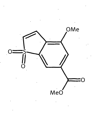 COC(=O)c1cc(OC)c2c(c1)S(=O)(=O)C=C2